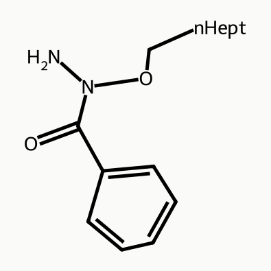 CCCCCCCCON(N)C(=O)c1ccccc1